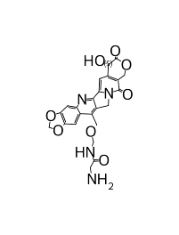 NCC(=O)NCOCc1c2c(nc3cc4c(cc13)OCO4)-c1cc3c(c(=O)n1C2)COC(=O)[C@H]3O